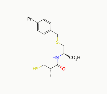 CC(C)c1ccc(CSC[C@H](NC(=O)[C@H](C)CS)C(=O)O)cc1